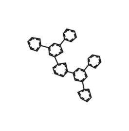 [c]1cc(-c2cc(-c3ccccc3)cc(-c3ccccc3)c2)cc(-c2cc(-c3ccccc3)cc(-c3ccccc3)c2)c1